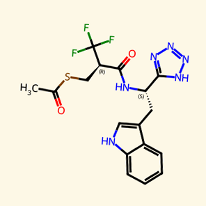 CC(=O)SC[C@H](C(=O)N[C@@H](Cc1c[nH]c2ccccc12)c1nnn[nH]1)C(F)(F)F